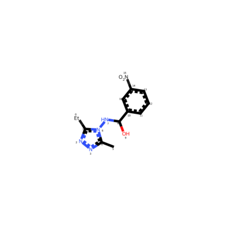 CCc1nnc(C)n1NC(O)c1cccc([N+](=O)[O-])c1